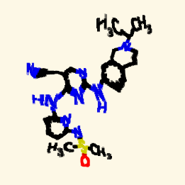 CC(C)N1CCc2ccc(Nc3ncc(C#N)c(Nc4cccc(N=S(C)(C)=O)n4)n3)cc2C1